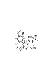 CC[C@](O)(F)C(=O)O[C@@H]1C(OC)=C[C@]23CCCN2CCc2cc4c(cc2[C@H]13)OCO4